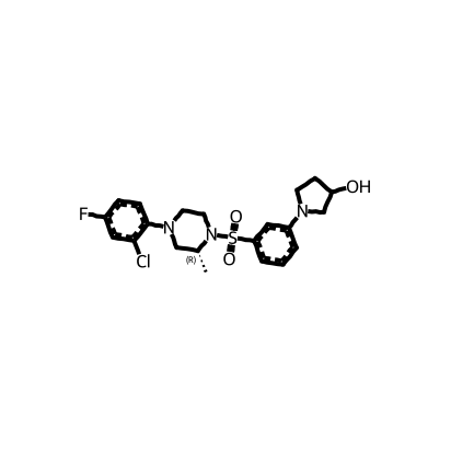 C[C@@H]1CN(c2ccc(F)cc2Cl)CCN1S(=O)(=O)c1cccc(N2CCC(O)C2)c1